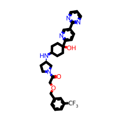 O=C(COCc1cccc(C(F)(F)F)c1)N1CC[C@H](NC2CCC(O)(c3ccc(-c4ncccn4)cn3)CC2)C1